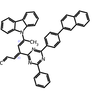 C=C/C=C(\C=C(/C)n1c2ccccc2c2ccccc21)c1nc(-c2ccccc2)nc(-c2ccc(-c3ccc4ccccc4c3)cc2)n1